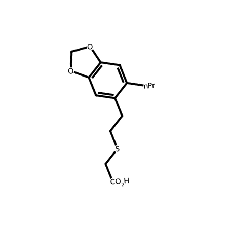 CCCc1cc2c(cc1CCSCC(=O)O)OCO2